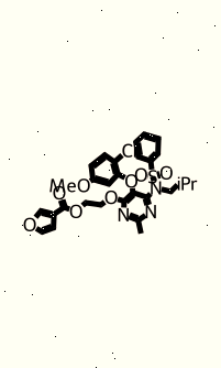 COc1ccc(Cl)c(Oc2c(OCCOC(=O)c3ccoc3)nc(C)nc2N(CC(C)C)S(=O)(=O)c2ccccc2)c1